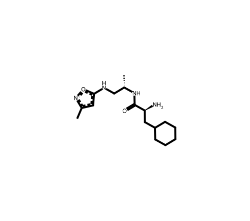 Cc1cc(NC[C@H](C)NC(=O)[C@@H](N)CC2CCCCC2)on1